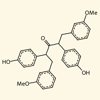 COc1cccc(CC(C(=O)C(Cc2cccc(OC)c2)c2ccc(O)cc2)c2ccc(O)cc2)c1